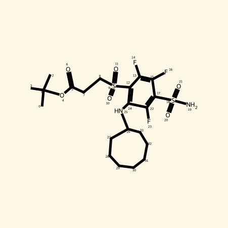 CC(C)(C)OC(=O)CCS(=O)(=O)c1c(F)c(F)c(S(N)(=O)=O)c(F)c1NC1CCCCCCC1